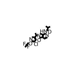 CC(C)C(=O)Nc1nccc2c1CN(C(C)c1cnc(OCC(C)(F)F)c(Cl)c1)C2=O